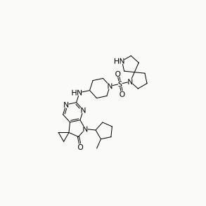 CC1CCCC1N1C(=O)C2(CC2)c2cnc(NC3CCN(S(=O)(=O)N4CCCC45CCNC5)CC3)nc21